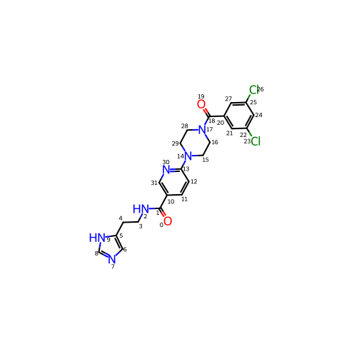 O=C(NCCc1cnc[nH]1)c1ccc(N2CCN(C(=O)c3cc(Cl)cc(Cl)c3)CC2)nc1